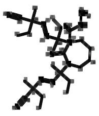 CCC(C)(C#N)N=NC(C)(CC)N1CCCC[N+](C(=S)NN)(C(C)(CC)N=NC(C)(C#N)CC)C1=S